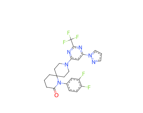 O=C1CCCC2(CCN(c3cc(-n4cccn4)nc(C(F)(F)F)n3)CC2)N1c1ccc(F)c(F)c1